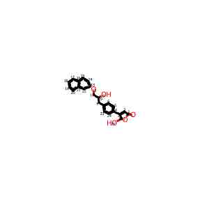 O=C1C=C(c2ccc(CC(O)COc3ccc4ccccc4c3)cc2)C(O)O1